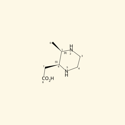 C[C@H]1NCCN[C@H]1CC(=O)O